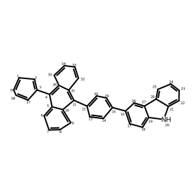 c1ccc(-c2c3ccccc3c(-c3ccc(-c4ccc5[nH]c6ccccc6c5c4)cc3)c3ccccc23)cc1